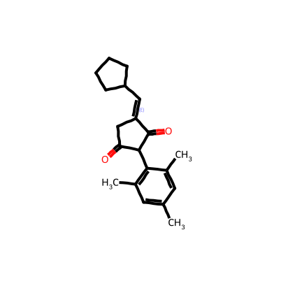 Cc1cc(C)c(C2C(=O)C/C(=C\C3CCCC3)C2=O)c(C)c1